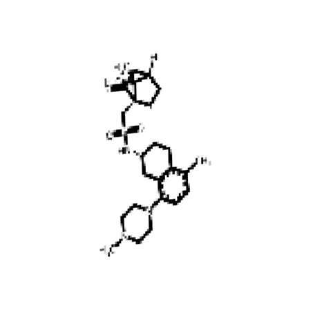 Cc1ccc(N2CCN(C)CC2)c2c1CC[C@@H](NS(=O)(=O)C[C@@]13CC[C@@H](CC1=O)C3(C)C)C2